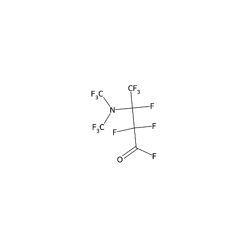 O=C(F)C(F)(F)C(F)(N(C(F)(F)F)C(F)(F)F)C(F)(F)F